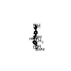 COC(=O)Nc1ccc(Nc2cc(-c3ccc(-c4cn[nH]c4)cc3)[nH]n2)c(C)c1